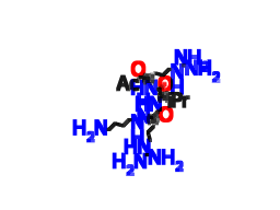 CC(=O)C(=O)[C@H](CCCNC(N)N)NC(=O)[C@@H](NC(=O)[C@H](CCCNC(N)N)NNCCCCN)C(C)C